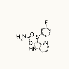 NC(=O)Oc1[nH]c2cccnc2c1Sc1cccc(F)c1